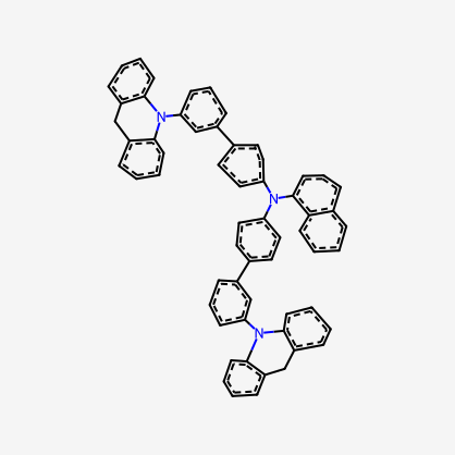 c1cc(-c2ccc(N(c3ccc(-c4cccc(N5c6ccccc6Cc6ccccc65)c4)cc3)c3cccc4ccccc34)cc2)cc(N2c3ccccc3Cc3ccccc32)c1